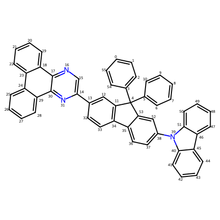 c1ccc(C2(c3ccccc3)c3cc(-c4cnc5c6ccccc6c6ccccc6c5n4)ccc3-c3ccc(-n4c5ccccc5c5ccccc54)cc32)cc1